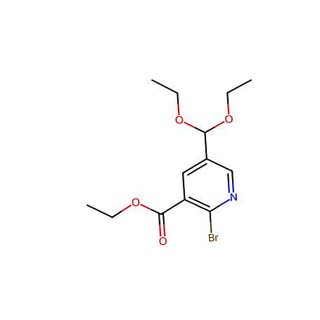 CCOC(=O)c1cc(C(OCC)OCC)cnc1Br